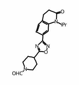 CC(C)N1C(=O)CCc2ccc(-c3noc(C4CCN(C=O)CC4)n3)cc21